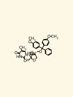 COc1ccc(C(OC[C@@]23CO[C@H]([C@H](n4cc(C)c(=O)[nH]c4=O)O2)[C@H]3O)(c2ccccc2)c2ccc(OC)cc2)cc1